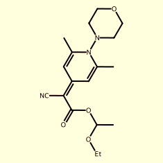 CCOC(C)OC(=O)C(C#N)=C1C=C(C)N(N2CCOCC2)C(C)=C1